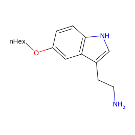 CCCCCCOc1ccc2[nH]cc(CCN)c2c1